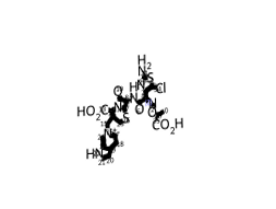 C[C@H](O/N=C(\C(=O)N[C@@H]1C(=O)N2C(C(=O)O)=C(C[n+]3ccc4cc[nH]c4c3)CSC12)c1nc(N)sc1Cl)C(=O)O